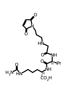 CC(C)[C@H](NC(=O)CNCCCN1C(=O)C=CC1=O)C(=O)N[C@@H](CCCNC(N)=O)C(=O)O